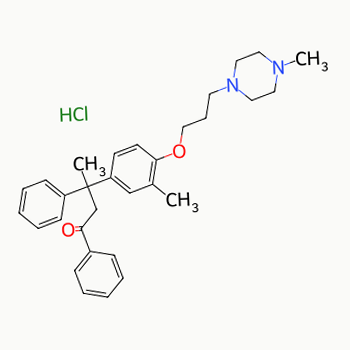 Cc1cc(C(C)(CC(=O)c2ccccc2)c2ccccc2)ccc1OCCCN1CCN(C)CC1.Cl